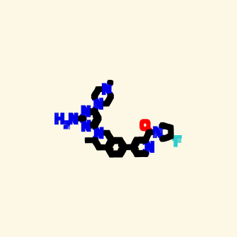 CC1Cc2ccc(-c3ccnc(C(=O)N4CC[C@H](F)C4)c3)cc2CN1c1cc(N2CCN(C)CC2)nc(N)n1